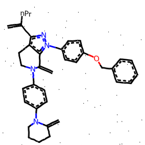 C=C(CCC)c1nn(-c2ccc(OCc3ccccc3)cc2)c2c1CCN(c1ccc(N3CCCCC3=C)cc1)C2=C